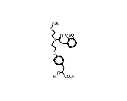 CCCCSCCN(CCOc1ccc(CC(OCC)C(=O)O)cc1)C(=O)Oc1ccccc1OC